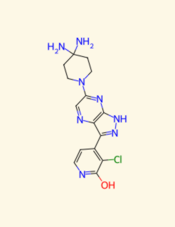 NC1(N)CCN(c2cnc3c(-c4ccnc(O)c4Cl)n[nH]c3n2)CC1